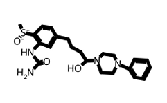 C[S+]([O-])c1ccc(CCCC(O)N2CCN(c3ccccc3)CC2)cc1NC(N)=O